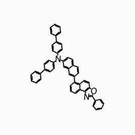 c1ccc(-c2ccc(N(c3ccc(-c4ccccc4)cc3)c3ccc4ccc(-c5cccc6c5ccc5oc(-c7ccccc7)nc56)cc4c3)cc2)cc1